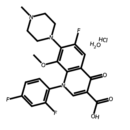 COc1c(N2CCN(C)CC2)c(F)cc2c(=O)c(C(=O)O)cn(-c3ccc(F)cc3F)c12.Cl.O